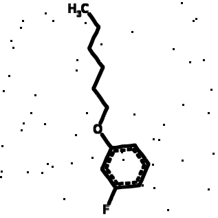 CCCCCCOc1cc[c]c(F)c1